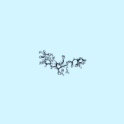 C[C@@H](NC(=O)Cc1nnnn1C)[C@H]1C(=O)N2C(C(=O)O)=C(S[C@@H]3CN[C@H](C(=O)N(C)C)C3)[C@H](C)[C@H]12